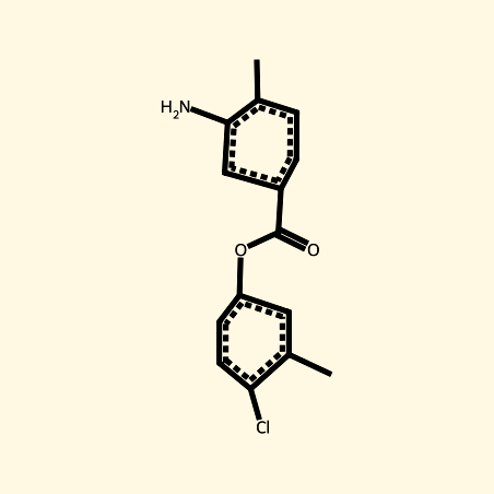 Cc1ccc(C(=O)Oc2ccc(Cl)c(C)c2)cc1N